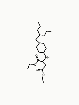 CCCC(CCC)CC1CCC(NC(CC(=O)OCC)C(=O)OCC)CC1